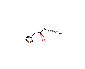 CCCCCCC(C)C(=O)Cc1ccsc1